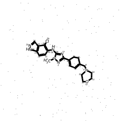 Cn1nc(C2=CC=C(CN3CCOCC3)CC2)nc1Nc1ccc2[nH]ncc2c1Cl